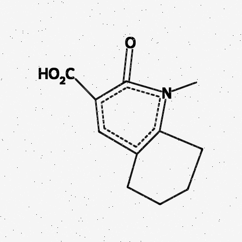 Cn1c2c(cc(C(=O)O)c1=O)CCCC2